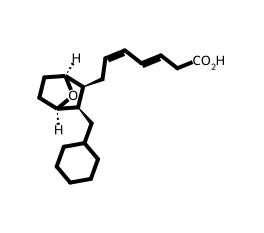 O=C(O)CC=C/C=C\C[C@H]1[C@@H](CC2CCCCC2)[C@H]2CC[C@@H]1O2